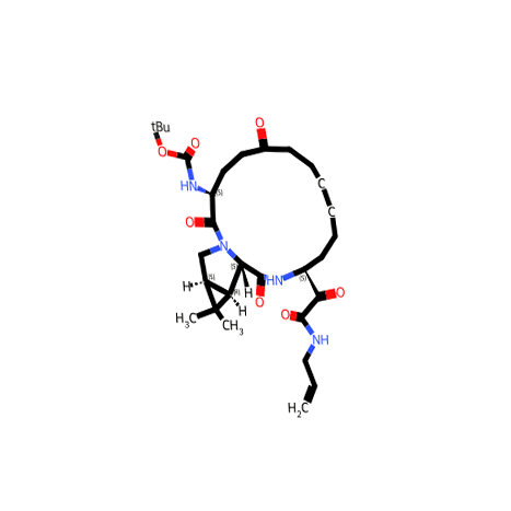 C=CCNC(=O)C(=O)[C@@H]1CCCCCCC(=O)CC[C@H](NC(=O)OC(C)(C)C)C(=O)N2C[C@H]3[C@@H]([C@H]2C(=O)N1)C3(C)C